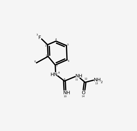 Cc1c(F)cccc1NC(=N)NC(N)=O